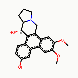 COc1cc2c3c(c4ccc(O)cc4c2cc1OC)[C@H](O)C1CCCN1C3